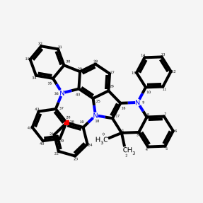 CC1(C)c2ccccc2N(c2ccccc2)c2c1n(-c1ccccc1)c1c2ccc2c3ccccc3n(-c3ccccc3)c21